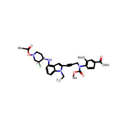 COC(=O)c1ccc(N(CC#Cc2cc3c(N[C@@H]4CCN(OC(=O)C(C)(C)C)C[C@@H]4F)cccc3n2CC(F)(F)F)C(=O)OC(C)(C)C)c(OC)c1